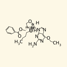 CCCCO[C@H]1[C@H]2OC[C@]1(COC(=O)c1ccccc1)O[C@H]2n1cnc2c(OCC)nc(N)nc21